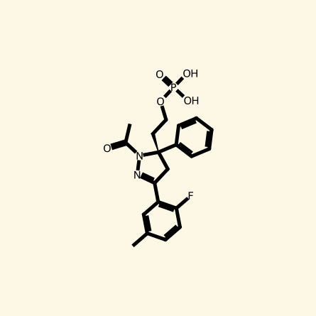 CC(=O)N1N=C(c2cc(C)ccc2F)C[C@@]1(CCOP(=O)(O)O)c1ccccc1